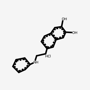 Cl.Oc1cc2ccc(CCNc3ccccc3)cc2cc1O